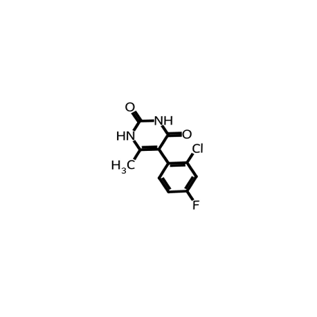 Cc1[nH]c(=O)[nH]c(=O)c1-c1ccc(F)cc1Cl